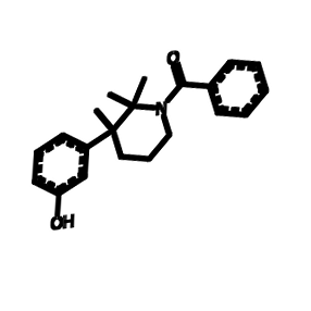 CC1(c2cccc(O)c2)CCCN(C(=O)c2ccccc2)C1(C)C